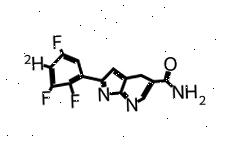 [2H]c1c(F)cc(C2=NC3=NC=C(C(N)=O)CC3=C2)c(F)c1F